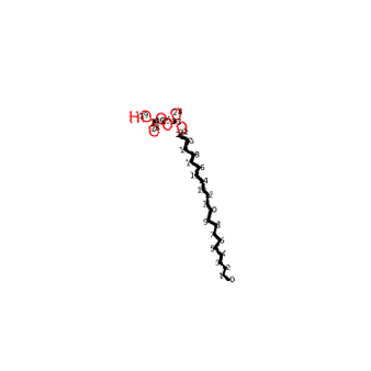 CCCCCCCCCCCCCCCCCCCCCCOC(=O)OOC(=O)O